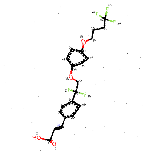 O=C(O)/C=C/c1ccc(C(F)(F)COc2ccc(OCCCC(F)(F)F)cc2)cc1